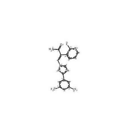 NC(=O)/C(=C/n1cnc(-c2cc(C(F)(F)F)cc(C(F)(F)F)c2)n1)c1cccnc1F